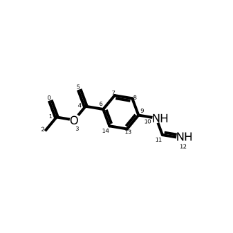 C=C(C)OC(=C)c1ccc(NC=N)cc1